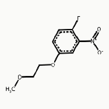 COCCOc1ccc(F)c([N+](=O)[O-])c1